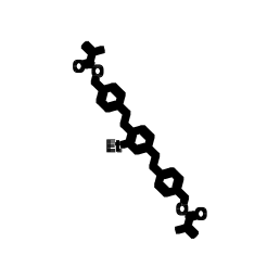 C=C(C)C(=O)OCc1ccc(CCc2ccc(CCc3ccc(COC(=O)C(=C)C)cc3)c(CC)c2)cc1